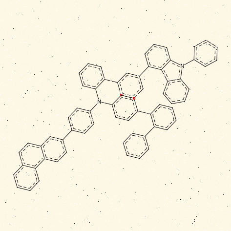 c1ccc(-c2ccccc2-c2ccc(N(c3ccc(-c4ccc5c(ccc6ccccc65)c4)cc3)c3ccccc3-c3cccc(-c4cccc5c4c4ccccc4n5-c4ccccc4)c3)cc2)cc1